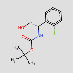 CC(C)(C)OC(=O)N[C@H](CO)c1ccccc1F